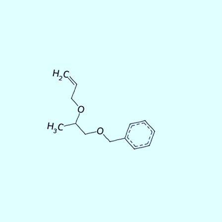 C=CCOC(C)COCc1ccccc1